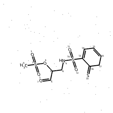 CS(=O)(=O)OC([C]=O)CNS(=O)(=O)C1=CC=CCC1=S